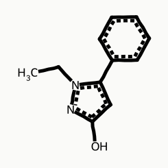 CCn1nc(O)cc1-c1ccccc1